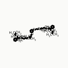 C=C(C)C(=O)OC(C)(C)C(COC(C)(C)C(C)(C)CCCCOCCCOc1cccc(OCCC(C)(C)OCCCCC(C)(C)C(C)(C)OCC(c2ccccc2)C(C)(C)OC(=O)C(=C)C)c1)c1ccccc1